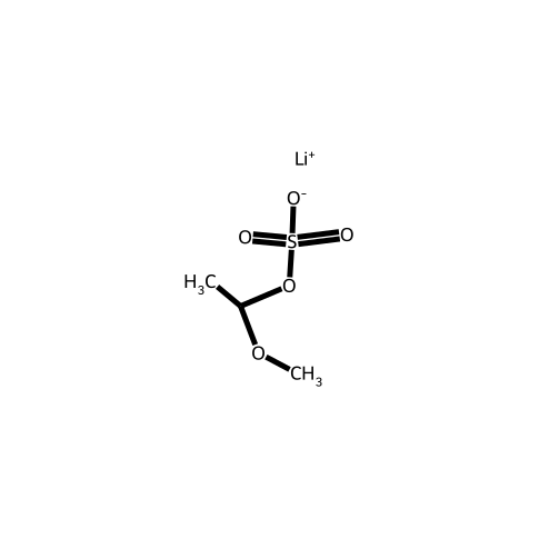 COC(C)OS(=O)(=O)[O-].[Li+]